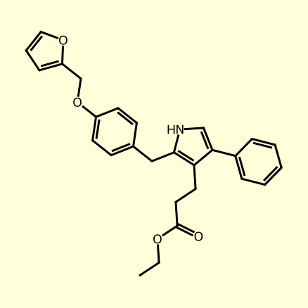 CCOC(=O)CCc1c(-c2ccccc2)c[nH]c1Cc1ccc(OCc2ccco2)cc1